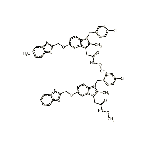 CONC(=O)Cc1c(C)n(Cc2ccc(Cl)cc2)c2ccc(OCc3nc4ccccc4s3)cc12.CONC(=O)Cc1c(C)n(Cc2ccc(Cl)cc2)c2ccc(OCc3nc4ccccc4s3)cc12.O